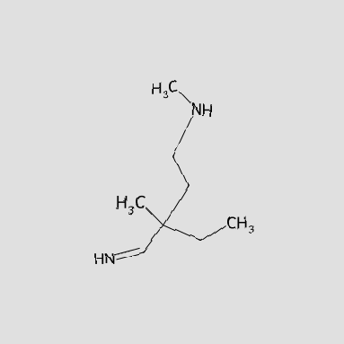 CCC(C)(C=N)CCNC